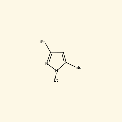 CCC(C)c1cc(C(C)C)nn1CC